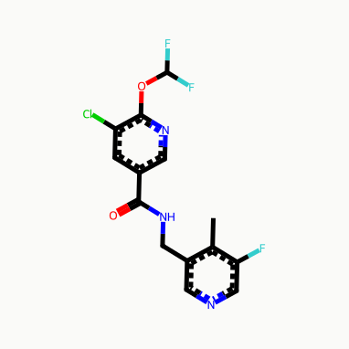 Cc1c(F)cncc1CNC(=O)c1cnc(OC(F)F)c(Cl)c1